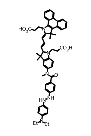 CCN(CC)c1ccc(NNc2ccc(C(=O)N(C)c3ccc4c(c3)C(C)(C)C(/C=C/C=C3/N(CCC(=O)O)c5c(c6ccccc6c6ccccc56)C3(C)C)N4CCC(=O)O)cc2)cc1